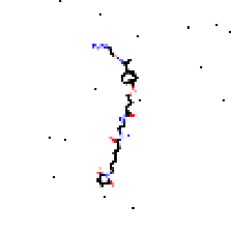 CC(=NOCCN)c1ccc(OCCCC(=O)NCCNC(=O)CCCCCN2C(=O)C=CC2=O)cc1